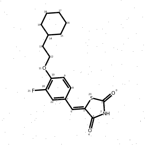 O=C1NC(=O)/C(=C/c2ccc(OCCC3CCCCC3)c(F)c2)S1